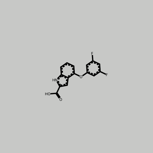 O=C(O)c1cc2c(Oc3cc(F)cc(F)c3)cccc2[nH]1